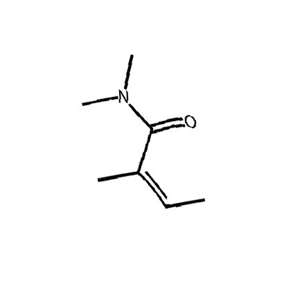 CC=C(C)C(=O)N(C)C